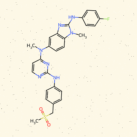 CN(c1ccc2c(c1)nc(Nc1ccc(F)cc1)n2C)c1ccnc(Nc2ccc(CS(C)(=O)=O)cc2)n1